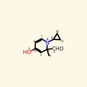 CC1(C=O)C=C(O)C=CN1C1CC1